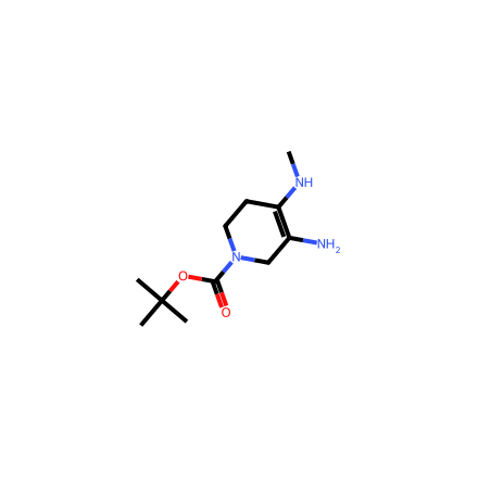 CNC1=C(N)CN(C(=O)OC(C)(C)C)CC1